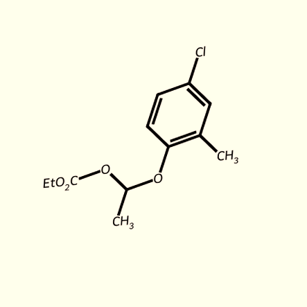 CCOC(=O)OC(C)Oc1ccc(Cl)cc1C